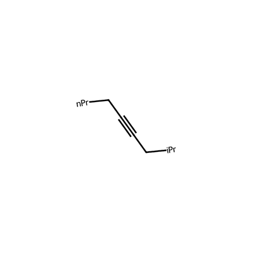 [CH2]CCCC#CCC(C)C